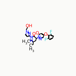 CCC(CC)CC(C(=O)Nc1ccn(CCO)n1)n1ncc(Oc2c(F)cccc2F)cc1=O